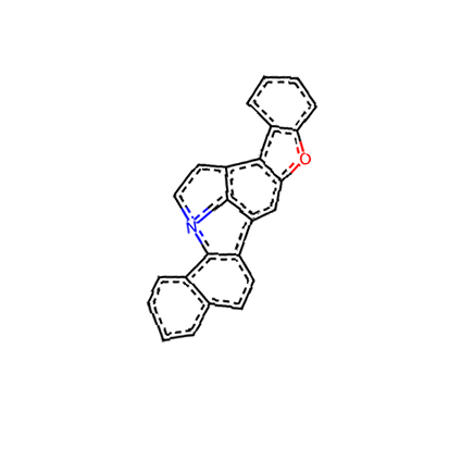 c1ccc2c(c1)ccc1c3cc4oc5ccccc5c4c4ccn(c21)c34